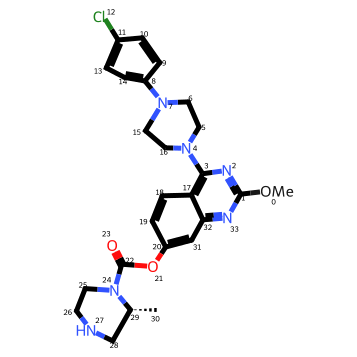 COc1nc(N2CCN(c3ccc(Cl)cc3)CC2)c2ccc(OC(=O)N3CCNC[C@H]3C)cc2n1